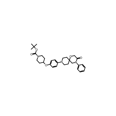 CC(C)(C)OC(=O)N1CCC(Oc2ccc(N3CCC4(CC3)CN(c3ccccc3)C(=O)CO4)cc2)CC1